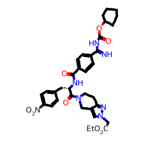 CCOC(=O)Cn1cc2c(n1)CCN(C(=O)[C@H](Cc1ccc([N+](=O)[O-])cc1)NC(=O)c1ccc(C(=N)NC(=O)OC3CCCCC3)cc1)C2